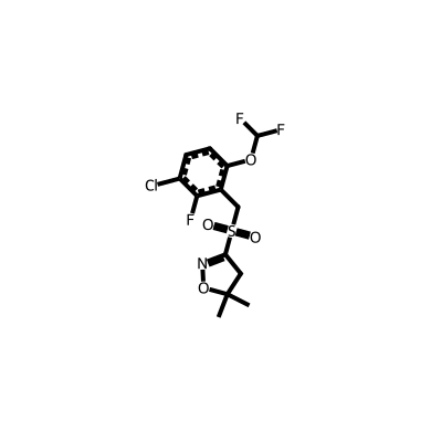 CC1(C)CC(S(=O)(=O)Cc2c(OC(F)F)ccc(Cl)c2F)=NO1